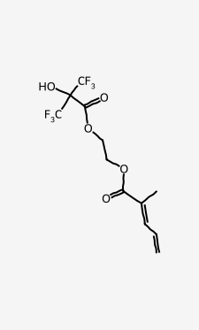 C=C/C=C(\C)C(=O)OCCOC(=O)C(O)(C(F)(F)F)C(F)(F)F